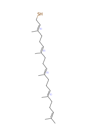 CC(C)=CCC/C(C)=C/CC/C(C)=C/CC/C(C)=C/CC/C(C)=C/CS